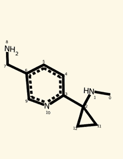 CNC1(c2ccc(CN)cn2)CC1